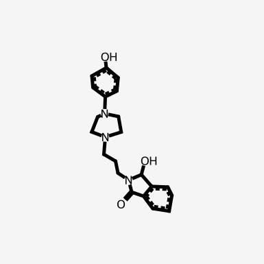 O=C1c2ccccc2C(O)N1CCCN1CCN(c2ccc(O)cc2)CC1